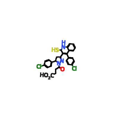 O=C(O)CCC(=O)N1N=C(C2=C(c3ccc(Cl)cc3)c3ccccc3NC2S)CC1c1ccc(Cl)cc1